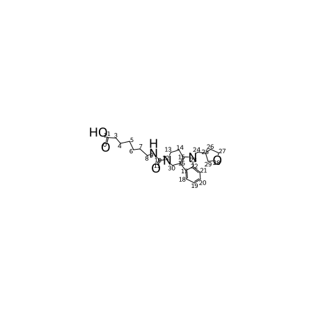 O=C(O)CCCCCCNC(=O)N1CCc2c(c3ccccc3n2CC2CCOC2)C1